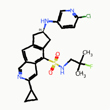 CC(C)(F)CNS(=O)(=O)c1c2c(cc3cnc(C4CC4)cc13)C[C@@H](Nc1ccc(Cl)nc1)C2